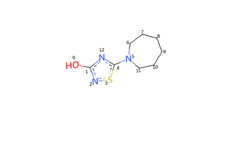 Oc1nsc(N2CCCCCC2)n1